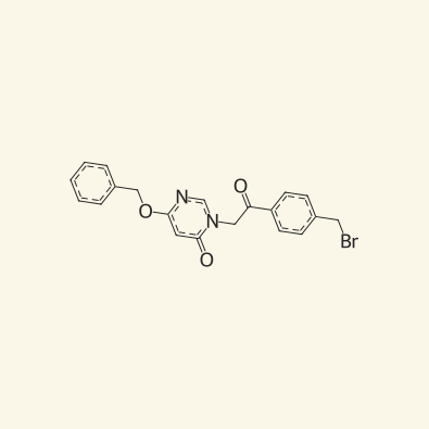 O=C(Cn1cnc(OCc2ccccc2)cc1=O)c1ccc(CBr)cc1